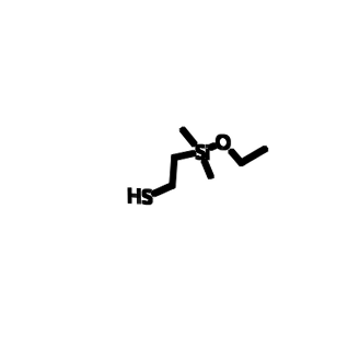 CCO[Si](C)(C)CCS